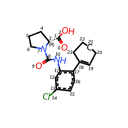 O=C(O)[C@H]1CCCN1C(=O)Nc1cc(Cl)ccc1C1=CCCCC1